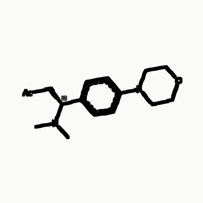 CC(=O)C[C@@H](c1ccc(N2CCOCC2)cc1)N(C)C